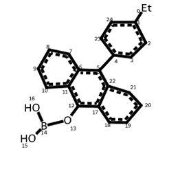 CCc1ccc(-c2c3ccccc3c(OB(O)O)c3ccccc23)cc1